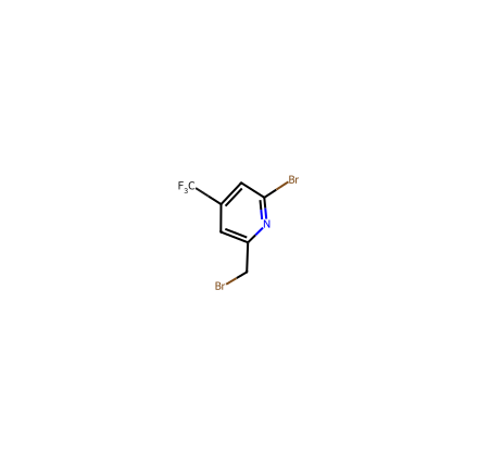 FC(F)(F)c1cc(Br)nc(CBr)c1